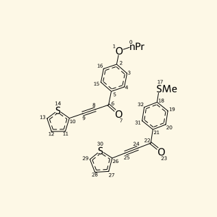 CCCOc1ccc(C(=O)C#Cc2cccs2)cc1.CSc1ccc(C(=O)C#Cc2cccs2)cc1